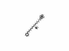 O=P([O-])([O-])OOCCCCCCCCCCCCCCCCc1ccccc1.[K+].[K+]